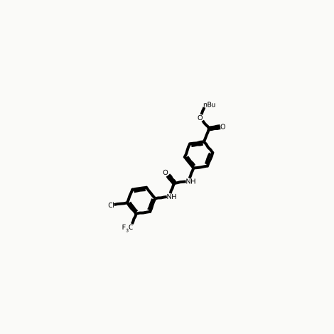 CCCCOC(=O)c1ccc(NC(=O)Nc2ccc(Cl)c(C(F)(F)F)c2)cc1